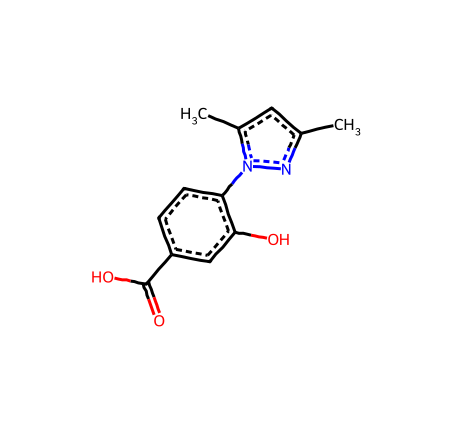 Cc1cc(C)n(-c2ccc(C(=O)O)cc2O)n1